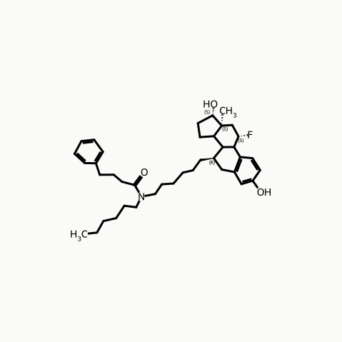 CCCCCCN(CCCCCC[C@@H]1Cc2cc(O)ccc2C2C1C1CC[C@H](O)[C@@]1(C)C[C@@H]2F)C(=O)CCCc1ccccc1